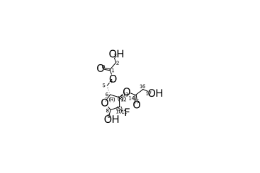 O=C(CO)OC[C@H]1OC(O)[C@@H](F)[C@@H]1OC(=O)CO